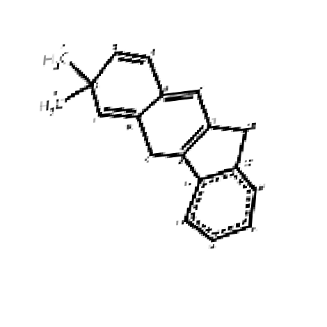 CC1(C)C=CC2=CC3=C(CC2=C1)c1ccccc1C3